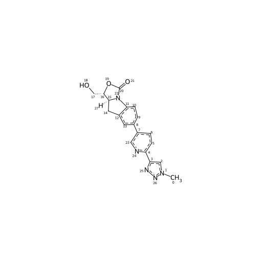 Cn1cc(-c2ccc(-c3ccc4c(c3)C[C@H]3[C@H](CO)OC(=O)N43)cn2)nn1